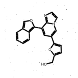 OCc1ccc(-c2cc(-c3occ4ccccc34)c3nccn3c2)o1